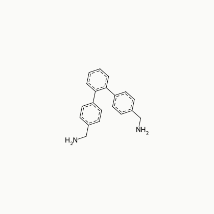 NCc1ccc(-c2ccccc2-c2ccc(CN)cc2)cc1